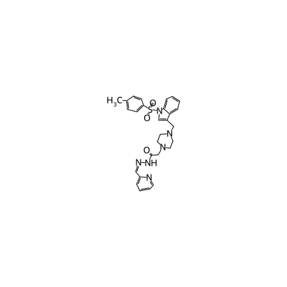 Cc1ccc(S(=O)(=O)n2cc(CN3CCN(CC(=O)N/N=C\c4ccccn4)CC3)c3ccccc32)cc1